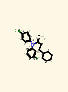 C=C(CCC1CCCCC1)N(c1ccc(Cl)cc1)c1cccc(F)c1